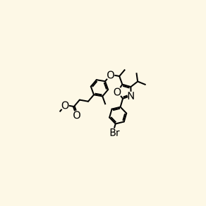 COC(=O)CCc1ccc(OC(C)c2oc(-c3ccc(Br)cc3)nc2C(C)C)cc1C